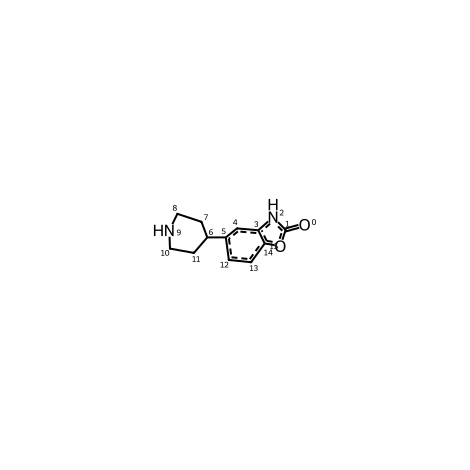 O=c1[nH]c2cc(C3CCNCC3)ccc2o1